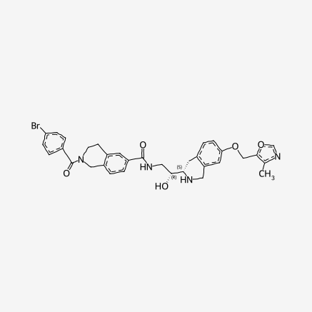 Cc1ncoc1COc1ccc2c(c1)CN[C@H]([C@H](O)CNC(=O)c1ccc3c(c1)CCN(C(=O)c1ccc(Br)cc1)C3)C2